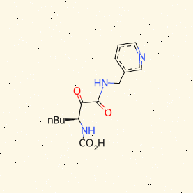 CCCC[C@H](NC(=O)O)C(=O)C(=O)NCc1cccnc1